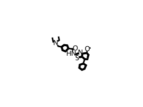 CCN(CC)Cc1ccc(C(=O)Nc2nc3c(OC)ccc(-c4ccccc4)c3s2)cc1